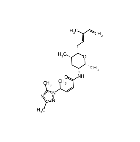 C=C/C(C)=C/C[C@@H]1O[C@H](C)[C@H](NC(=O)/C=C\C(C)n2nc(C)nc2C)C[C@@H]1C